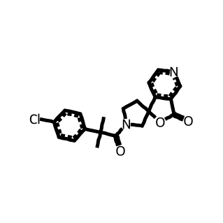 CC(C)(C(=O)N1CCC2(C1)OC(=O)c1cnccc12)c1ccc(Cl)cc1